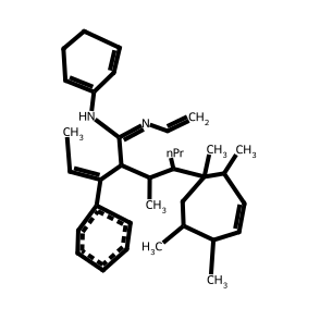 C=C/N=C(/NC1=CCCC=C1)C(/C(=C\C)c1ccccc1)C(C)C(CCC)C1(C)CC(C)C(C)C=CC1C